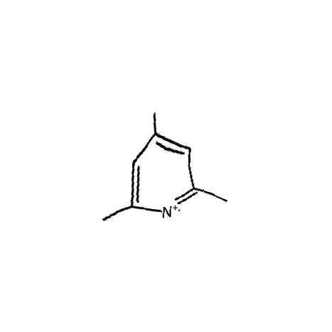 CC1=CC(C)=[N+]C(C)=C1